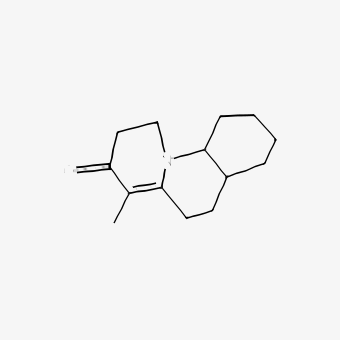 CC1=C2CCC3CCCCC3N2CCC1=O